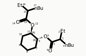 CCCCC(CC)C(=O)O[C@@H]1CCCC[C@H]1OC(=O)C(CC)CCCC